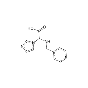 O=C(O)C(NCc1ccccc1)n1ccnc1